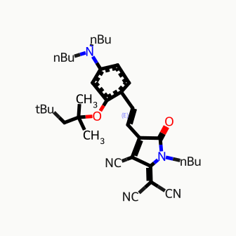 CCCCN1C(=O)C(/C=C/c2ccc(N(CCCC)CCCC)cc2OC(C)(C)CC(C)(C)C)=C(C#N)C1=C(C#N)C#N